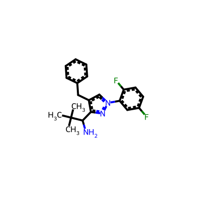 CC(C)(C)C(N)c1nn(-c2cc(F)ccc2F)cc1Cc1ccccc1